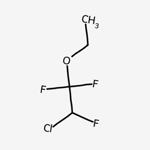 CCOC(F)(F)C(F)Cl